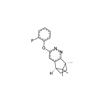 CC1(C)[C@H]2CC[C@]1(C)c1nnc(Oc3ccccc3F)cc12